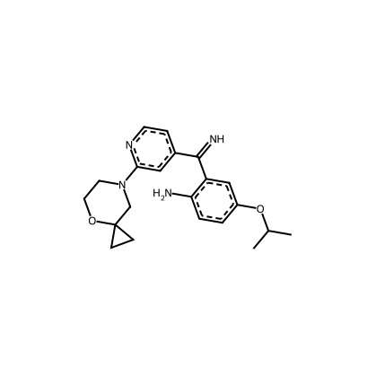 CC(C)Oc1ccc(N)c(C(=N)c2ccnc(N3CCOC4(CC4)C3)c2)c1